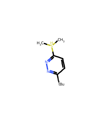 C[SH](C)c1ccc(C(C)(C)C)nn1